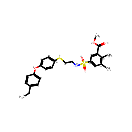 CCc1ccc(Oc2ccc(SCCNS(=O)(=O)c3cc(C)c(C)c(C(=O)OC)c3)cc2)cc1